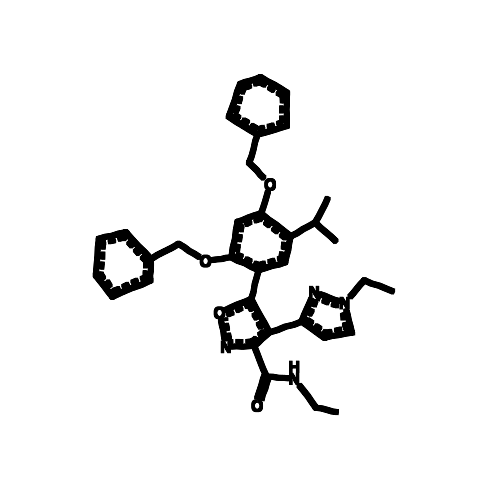 CCNC(=O)c1noc(-c2cc(C(C)C)c(OCc3ccccc3)cc2OCc2ccccc2)c1-c1ccn(CC)n1